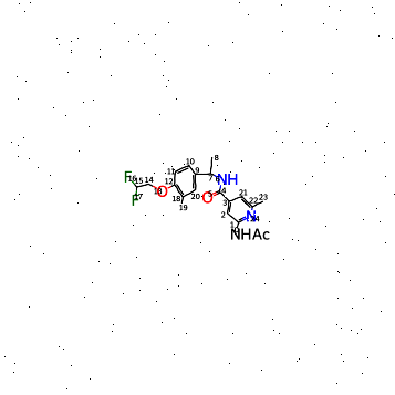 CC(=O)Nc1cc(C(=O)NC(C)c2ccc(OCC(F)F)c(C)c2)cc(C)n1